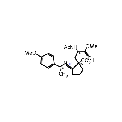 COC(=O)[C@H](C[C@@]1(C(=O)O)CCC/C1=N\[C@@H](C)c1ccc(OC)cc1)NC(C)=O